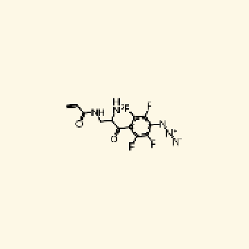 C=CC(=O)NCC(N)C(=O)c1c(F)c(F)c(N=[N+]=[N-])c(F)c1F